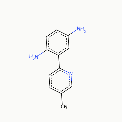 N#Cc1ccc(-c2cc(N)ccc2N)nc1